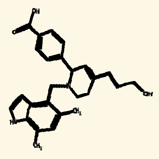 Cc1cc(C)c2[nH]ccc2c1CN1CCC(CCCO)=CC1c1ccc(C(=O)O)cc1